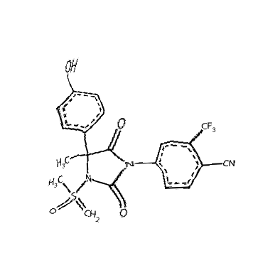 C=S(C)(=O)N1C(=O)N(c2ccc(C#N)c(C(F)(F)F)c2)C(=O)C1(C)c1ccc(O)cc1